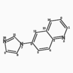 c1cnc2ccc(-n3ccnc3)cc2c1